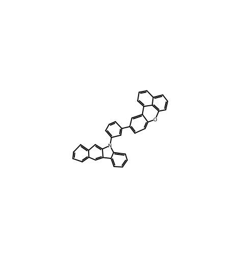 c1cc(-c2ccc3c(c2)-c2cccc4cccc(c24)O3)cc(-n2c3ccccc3c3cc4ccccc4cc32)c1